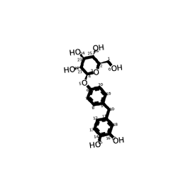 OC[C@H]1O[C@@H](Oc2ccc(Cc3ccc(O)c(O)c3)cc2)[C@H](O)[C@@H](O)[C@@H]1O